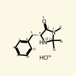 CN1C(=O)[C@@H](Cc2ccccc2)NC1(C)C.Cl